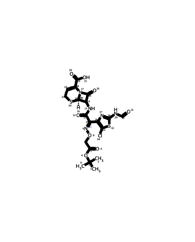 CC(C)(C)OC(=O)CO/N=C(/C(=O)NC1C(=O)N2C(C(=O)O)=CCS[C@H]12)c1nc(NC=O)sc1Cl